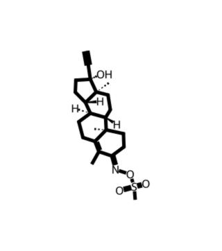 C#C[C@]1(O)CC[C@H]2[C@@H]3CCC4=C(C)/C(=N/OS(C)(=O)=O)CC[C@]4(C)[C@H]3CC[C@@]21C